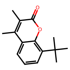 Cc1c(C)c2cccc(C(C)(C)C)c2oc1=O